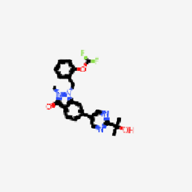 Cn1c(=O)c2ccc(-c3cnc(C(C)(C)O)nc3)cc2n1Cc1ccccc1OC(F)F